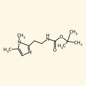 Cc1cnc(CCNC(=O)OC(C)(C)C)n1C